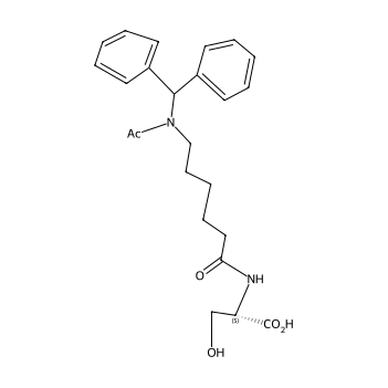 CC(=O)N(CCCCCC(=O)N[C@@H](CO)C(=O)O)C(c1ccccc1)c1ccccc1